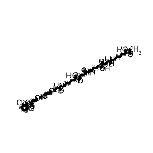 CC(=O)N(O)CCCCCNC(=O)CCC(=O)N(O)CCCCCNC(=O)CCC(=O)N(O)CCCCCNC(=O)CCOCCOCCOCCC(=O)Oc1c(Cl)cccc1Cl